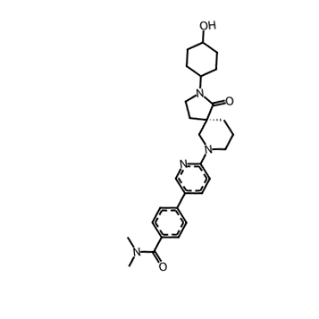 CN(C)C(=O)c1ccc(-c2ccc(N3CCC[C@@]4(CCN(C5CCC(O)CC5)C4=O)C3)nc2)cc1